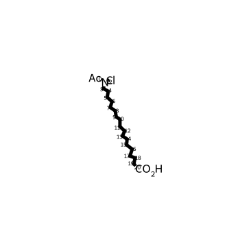 CC(=O)N(Cl)CCCCCCCCCCCCCCCCCC(=O)O